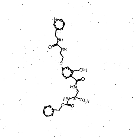 O=C(NCCOc1ccc(C(=O)NC[C@H](NC(=O)OCc2ccccc2)C(=O)O)c(O)c1)NCc1cccnc1